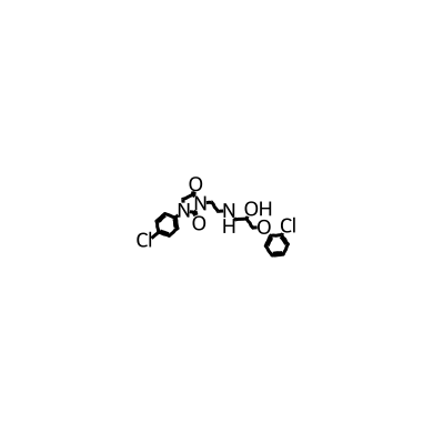 O=C1CN(c2ccc(Cl)cc2)C(=O)N1CCNCC(O)COc1ccccc1Cl